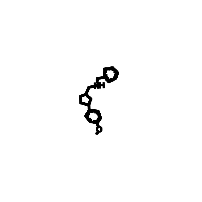 COc1ccc(C2CCC(CNCc3ccccc3)C2)cc1